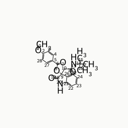 COc1ccc(C(=O)OC2(CC(=O)NC(C)(C)C)C(=O)Nc3ccccc32)cc1